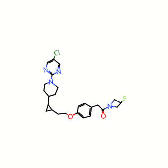 O=C(Cc1ccc(OCCC2CC2C2CCN(c3ncc(Cl)cn3)CC2)cc1)N1CC(F)C1